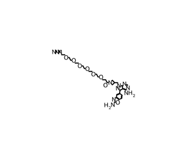 [N-]=[N+]=NCCOCCOCCOCCOCCOCCOCCC(=O)N1CC(Cn2nc(-c3ccc4oc(N)nc4c3)c3c(N)ncnc32)C1